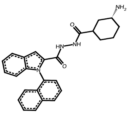 N[C@@H]1CCCC(C(=O)NNC(=O)c2cc3ccccc3n2-c2cccc3ccccc23)C1